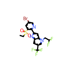 CCS(=O)(=O)c1cc(Br)cnc1-c1cc2n(CC(F)F)cc(C(F)(F)F)cc-2n1